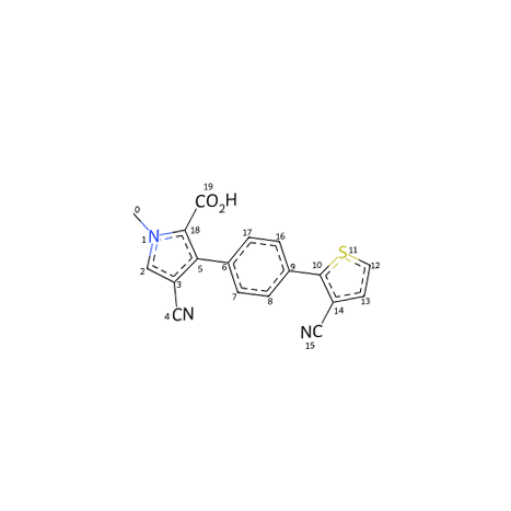 Cn1cc(C#N)c(-c2ccc(-c3sccc3C#N)cc2)c1C(=O)O